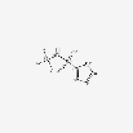 CC(C)(C)NS(=O)(=O)c1cccs1